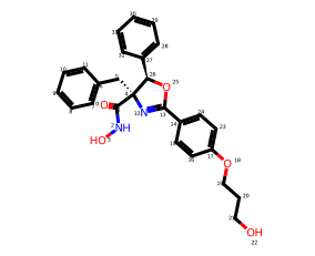 O=C(NO)[C@]1(Cc2ccccc2)N=C(c2ccc(OCCCO)cc2)O[C@@H]1c1ccccc1